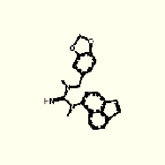 CN(Cc1ccc2c(c1)OCO2)C(=N)N(C)c1ccc2c3c(cccc13)C=C2